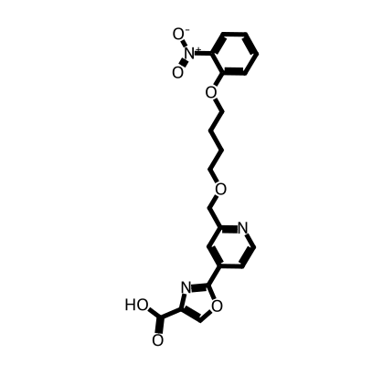 O=C(O)c1coc(-c2ccnc(COCCCCOc3ccccc3[N+](=O)[O-])c2)n1